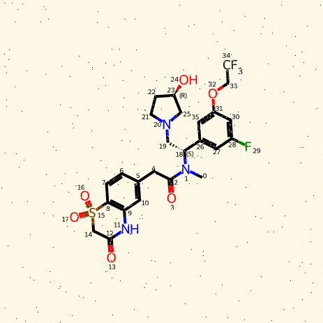 CN(C(=O)Cc1ccc2c(c1)NC(=O)CS2(=O)=O)[C@H](CN1CC[C@@H](O)C1)c1cc(F)cc(OCC(F)(F)F)c1